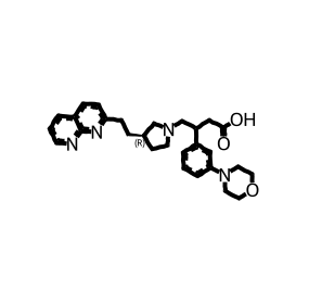 O=C(O)CC(CN1CC[C@@H](CCc2ccc3cccnc3n2)C1)c1cccc(N2CCOCC2)c1